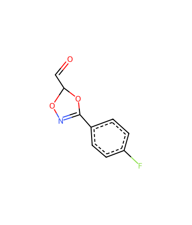 O=CC1ON=C(c2ccc(F)cc2)O1